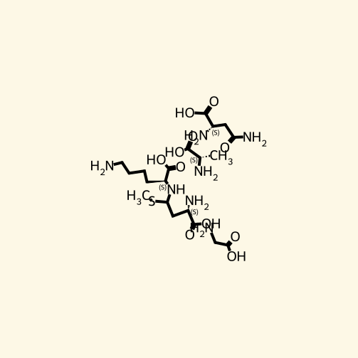 CSC(C[C@H](N)C(=O)O)N[C@@H](CCCCN)C(=O)O.C[C@H](N)C(=O)O.NC(=O)C[C@H](N)C(=O)O.NCC(=O)O